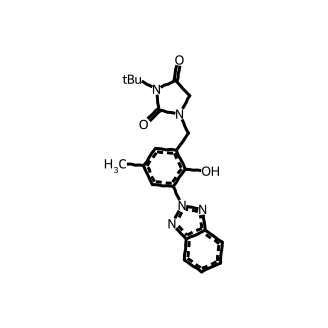 Cc1cc(CN2CC(=O)N(C(C)(C)C)C2=O)c(O)c(-n2nc3ccccc3n2)c1